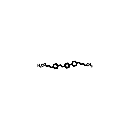 CCCCCC1CCC(c2ccc(CCC3=CCC(CCCOC)C=C3)cc2)CC1